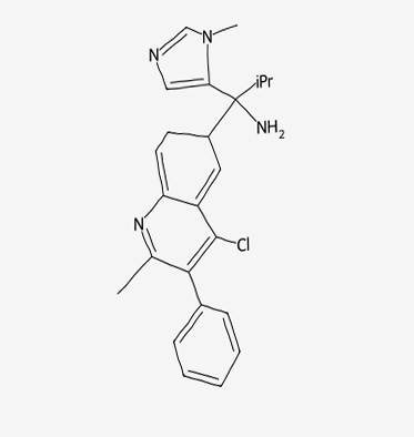 Cc1nc2c(c(Cl)c1-c1ccccc1)=CC(C(N)(c1cncn1C)C(C)C)CC=2